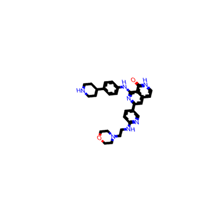 O=c1[nH]ccc2cc(-c3ccc(NCCN4CCOCC4)nc3)nc(Nc3ccc(C4CCNCC4)cc3)c12